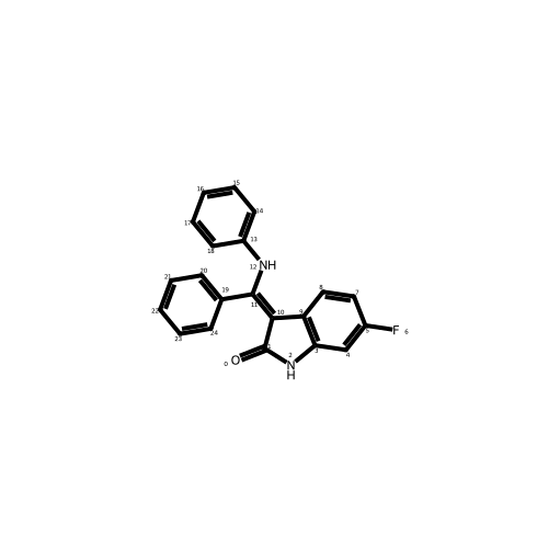 O=C1Nc2cc(F)ccc2C1=C(Nc1ccccc1)c1ccccc1